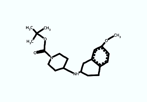 COc1ccc2c(c1)C[C@H](NC1CCN(C(=O)OC(C)(C)C)CC1)CC2